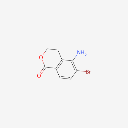 Nc1c(Br)ccc2c1CCOC2=O